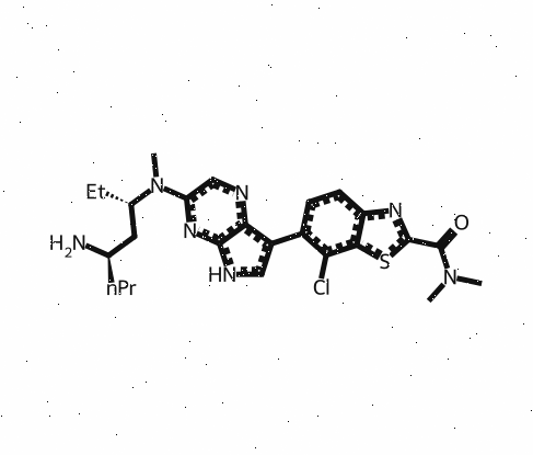 CCC[C@@H](N)C[C@H](CC)N(C)c1cnc2c(-c3ccc4nc(C(=O)N(C)C)sc4c3Cl)c[nH]c2n1